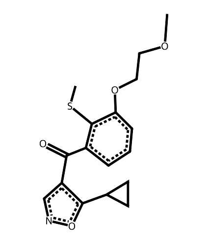 COCCOc1cccc(C(=O)c2cnoc2C2CC2)c1SC